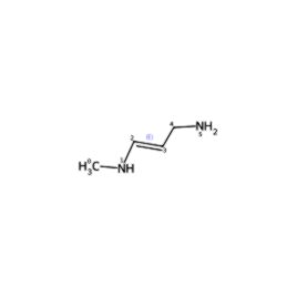 CN/C=C/CN